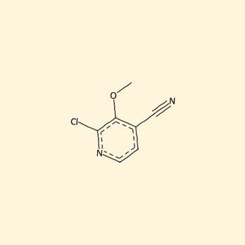 COc1c(C#N)ccnc1Cl